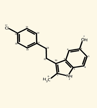 Cc1[nH]c2ccc(O)cc2c1CCc1ccc(Cl)cc1